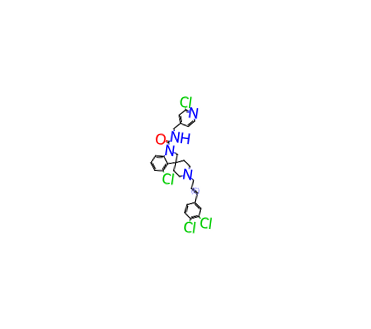 O=C(NCc1ccnc(Cl)c1)N1CC2(CCN(C/C=C/c3ccc(Cl)c(Cl)c3)CC2)c2c(Cl)cccc21